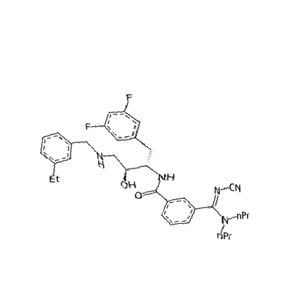 CCCN(CCC)C(=NC#N)c1cccc(C(=O)N[C@@H](Cc2cc(F)cc(F)c2)[C@@H](O)CNCc2cccc(CC)c2)c1